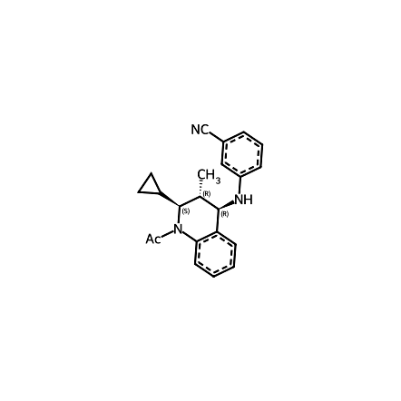 CC(=O)N1c2ccccc2[C@H](Nc2cccc(C#N)c2)[C@@H](C)[C@@H]1C1CC1